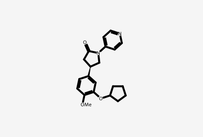 COc1ccc([C@H]2CC(=O)N(c3ccncc3)C2)cc1OC1CCCC1